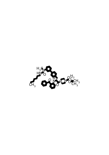 CCCCCCCNC(=O)N(C)c1cccc(-c2ccc(C[C@H](Nc3ccccc3C(=O)c3ccccc3)C(=O)N3CCN(C(=O)OC(C)(C)C)CC3)cc2)c1